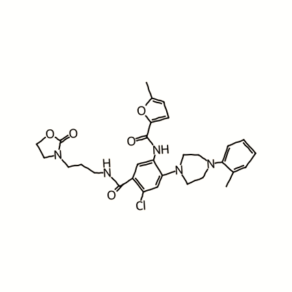 Cc1ccc(C(=O)Nc2cc(C(=O)NCCCN3CCOC3=O)c(Cl)cc2N2CCN(c3ccccc3C)CC2)o1